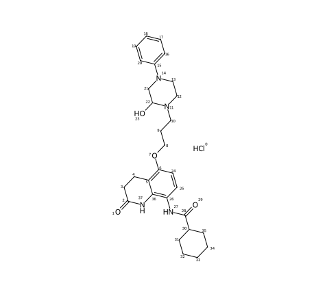 Cl.O=C1CCc2c(OCCCN3CCN(c4ccccc4)CC3O)ccc(NC(=O)C3CCCCC3)c2N1